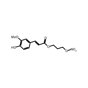 COc1cc(/C=C/C(=O)OCCCO[N+](=O)[O-])ccc1O